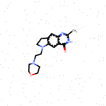 Cc1nc2cc3c(cc2c(=O)[nH]1)N(CCN1CCOCC1)CC3